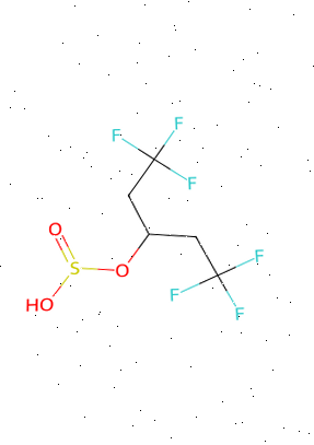 O=S(O)OC(CC(F)(F)F)CC(F)(F)F